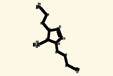 CC(C)CCCN1N=NC(CCC(C)C)C1C